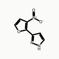 O=[N+]([O-])c1ccoc1-c1cc[nH]n1